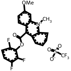 COc1ccc2c(C(=O)Oc3c(F)ccc(F)c3F)c3ccccc3[n+](C)c2c1.O=S(=O)([O-])C(F)(F)F